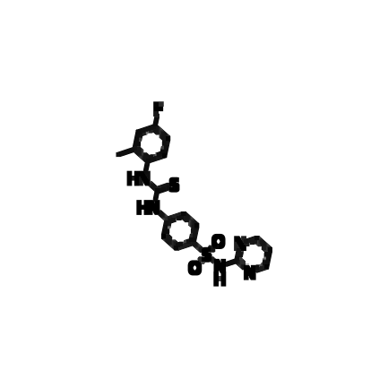 Cc1cc(F)ccc1NC(=S)Nc1ccc(S(=O)(=O)Nc2ncccn2)cc1